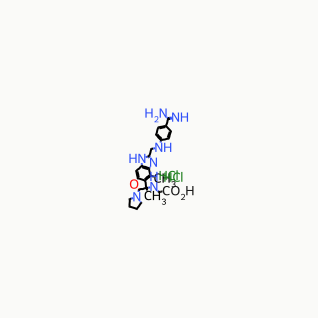 Cc1c(C(C)(NCC(=O)O)C(=O)N2CCCC2)ccc2[nH]c(CNc3ccc(C(=N)N)cc3)nc12.Cl.Cl